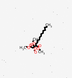 CCCCCCCCCCCCCC(C(=O)OCC)C(CC(=O)OCC)(OC=O)C(=O)OCC